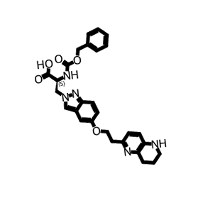 O=C(N[C@@H](Cn1cc2cc(OCCc3ccc4c(n3)CCCN4)ccc2n1)C(=O)O)OCc1ccccc1